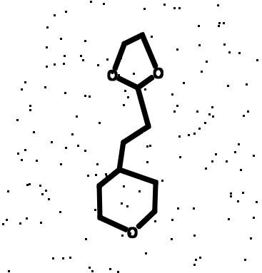 C1CC(CCC2OCCO2)CCO1